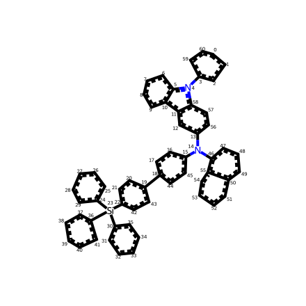 c1ccc(-n2c3ccccc3c3cc(N(c4ccc(-c5ccc([Si](c6ccccc6)(c6ccccc6)c6ccccc6)cc5)cc4)c4cccc5ccccc45)ccc32)cc1